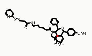 COc1ccc(C(OC(c2ccccc2)C2CC(O)CN2C(=O)CCCCCNC(=O)CCSSc2ccccn2)c2ccc(OC)cc2)cc1